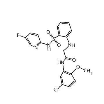 COc1ccc(Cl)cc1NC(=O)CNc1ccccc1S(=O)(=O)Nc1ccc(F)cn1